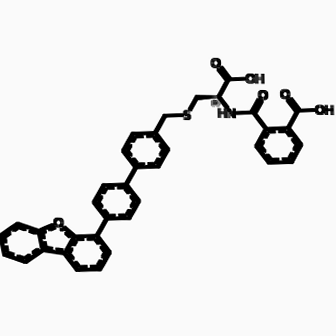 O=C(O)c1ccccc1C(=O)N[C@@H](CSCc1ccc(-c2ccc(-c3cccc4c3oc3ccccc34)cc2)cc1)C(=O)O